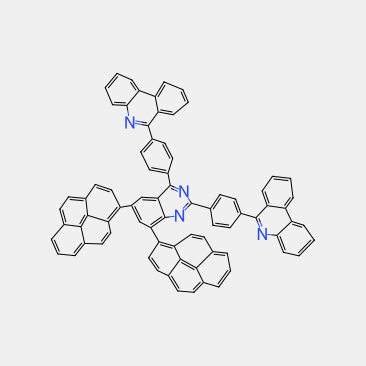 c1cc2ccc3ccc(-c4cc(-c5ccc6ccc7cccc8ccc5c6c78)c5nc(-c6ccc(-c7nc8ccccc8c8ccccc78)cc6)nc(-c6ccc(-c7nc8ccccc8c8ccccc78)cc6)c5c4)c4ccc(c1)c2c34